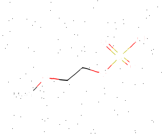 COOCCOS(=O)(=O)O